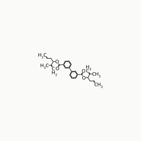 C=CCC(OC(=O)c1cccc(-c2cccc(C(=O)OC(CC=C)C(=C)C)c2)c1)C(=C)C